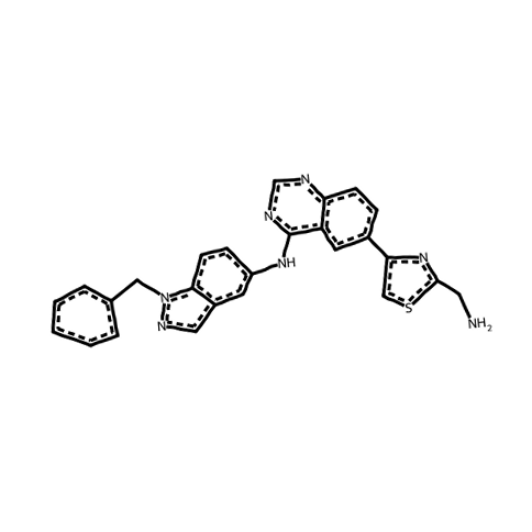 NCc1nc(-c2ccc3ncnc(Nc4ccc5c(cnn5Cc5ccccc5)c4)c3c2)cs1